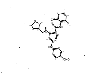 O=Cc1ccc(Nc2ncc(C(=O)Nc3c(F)cccc3Cl)c(NCC3CCCO3)n2)cc1